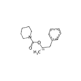 C[C@@H](Cc1ccccc1)OC(=O)N1CCCCC1